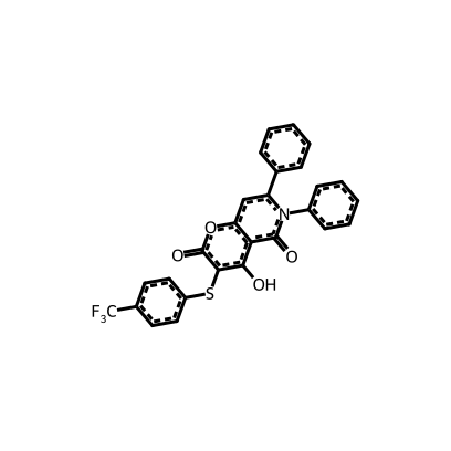 O=c1oc2cc(-c3ccccc3)n(-c3ccccc3)c(=O)c2c(O)c1Sc1ccc(C(F)(F)F)cc1